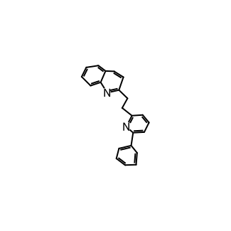 c1ccc(-c2cccc(CCc3ccc4ccccc4n3)n2)cc1